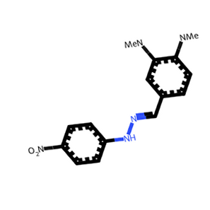 CNc1ccc(C=NNc2ccc([N+](=O)[O-])cc2)cc1NC